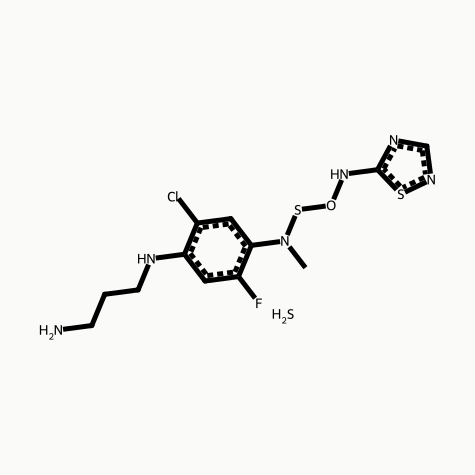 CN(SONc1ncns1)c1cc(Cl)c(NCCCN)cc1F.S